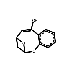 O/C1=C/C2CC(Oc3ccccc31)O2